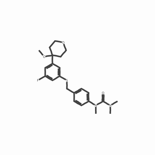 COC1(c2cc(F)cc(SCc3ccc(N(C)C(=O)N(C)C)cc3)c2)CCOCC1